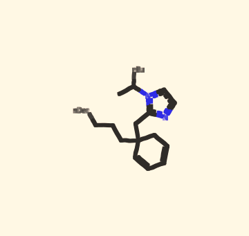 CCCCCCCCCCCCCC1(Cc2nccn2C(C)CCCC)C=CC=CC1